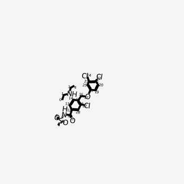 CCNCC.CS(=O)(=O)NC(=O)c1ccc(COc2ccc(Cl)c(Cl)c2)c(Cl)c1